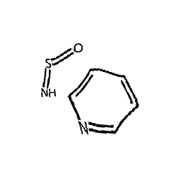 N=S=O.c1ccncc1